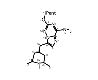 CCC[C@H](C)Oc1nc(N)c2ncc(CC3CC(C)NC(C)C3)n2n1